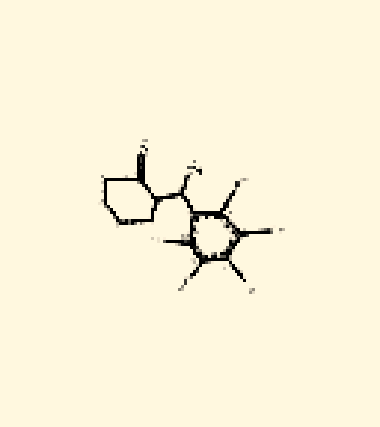 O=C1CCCCC1C(O)c1c(F)c(F)c(F)c(F)c1F